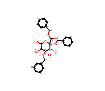 OC1O[C@](OCc2ccccc2)(C(O)OCc2ccccc2)[C@@H](O)[C@@](O)(OCc2ccccc2)[C@H]1O